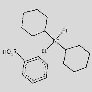 CC[N+](CC)(C1CCCCC1)C1CCCCC1.O=S(=O)(O)c1ccccc1